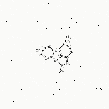 [Cl-].[Cl-].[Cl-].[V+3][c]1nc2ccccc2s1.c1ccncc1